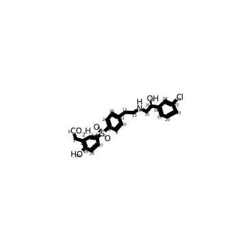 O=C(O)Cc1cc(S(=O)(=O)c2ccc(CCNC[C@@H](O)c3cccc(Cl)c3)cc2)ccc1O